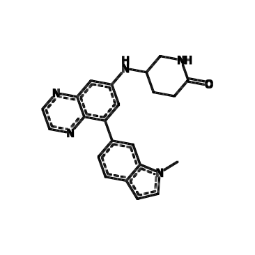 Cn1ccc2ccc(-c3cc(NC4CCC(=O)NC4)cc4nccnc34)cc21